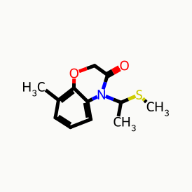 CSC(C)N1C(=O)COc2c(C)cccc21